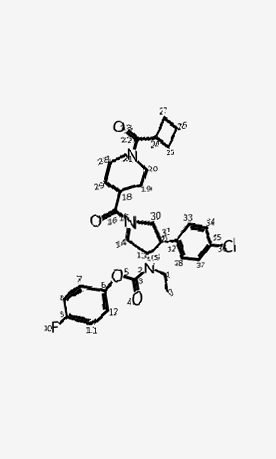 CCN(C(=O)Oc1ccc(F)cc1)[C@@H]1CN(C(=O)C2CCN(C(=O)C3CCC3)CC2)C[C@H]1c1ccc(Cl)cc1